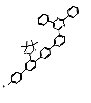 CC1(C)OB(c2cc(-c3ccc(C#N)cc3)ccc2-c2ccc(-c3cccc(-c4nc(-c5ccccc5)nc(-c5ccccc5)n4)c3)cc2)OC1(C)C